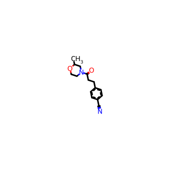 CC1CN(C(=O)CCc2ccc(C#N)cc2)CCO1